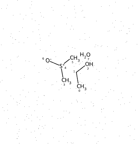 CCO.C[S+](C)[O-].O